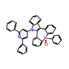 O=P1(c2ccccc2)c2ccccc2-c2c(n(-c3cc(-c4ccccc4)nc(-c4ccccc4)c3)c3ccccc23)-c2ccccc21